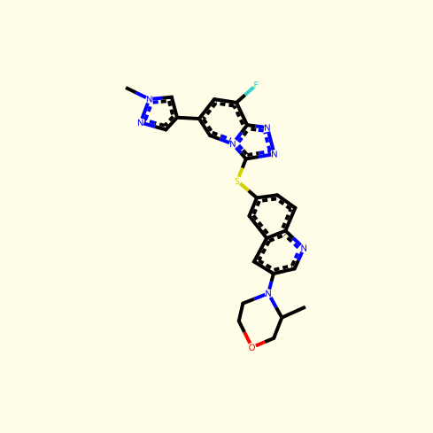 CC1COCCN1c1cnc2ccc(Sc3nnc4c(F)cc(-c5cnn(C)c5)cn34)cc2c1